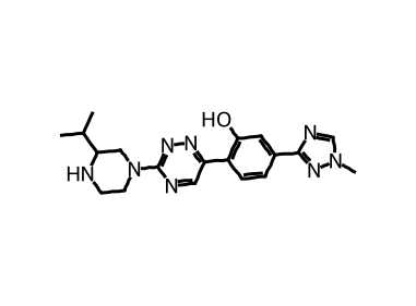 CC(C)C1CN(c2ncc(-c3ccc(-c4ncn(C)n4)cc3O)nn2)CCN1